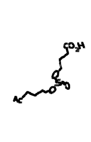 CC(=O)CCCOS(=O)OCCCC(=O)O